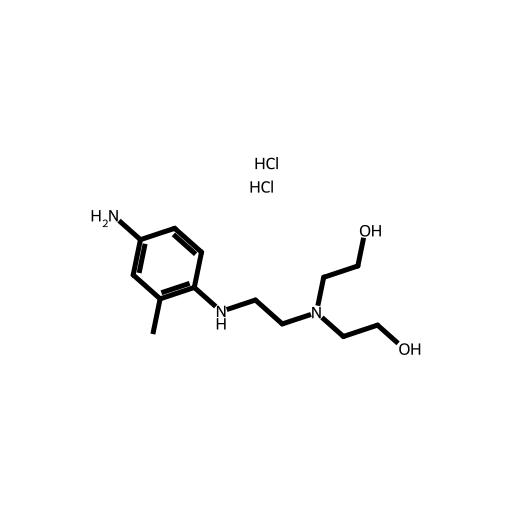 Cc1cc(N)ccc1NCCN(CCO)CCO.Cl.Cl